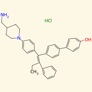 CCC(=C(c1ccc(-c2ccc(O)cc2)cc1)c1ccc(N2CCC(CN)CC2)cc1)c1ccccc1.Cl